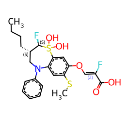 CCCC[C@H]1CN(c2ccccc2)c2cc(SC)c(O/C=C(\F)C(=O)O)cc2S(O)(O)[C@@H]1F